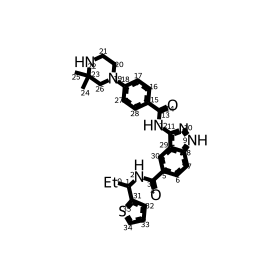 CCC(NC(=O)c1ccc2[nH]nc(NC(=O)c3ccc(N4CCNC(C)(C)C4)cc3)c2c1)c1cccs1